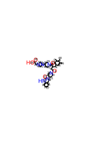 Cc1cc(CC(CC(=O)N2CCC(N3Cc4ccccc4NC3=O)CC2)C(=O)N2CCC(N3CCN(CC(=O)O)CC3)CC2)cc(C)c1C